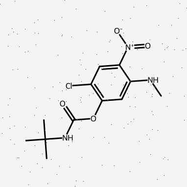 CNc1cc(OC(=O)NC(C)(C)C)c(Cl)cc1[N+](=O)[O-]